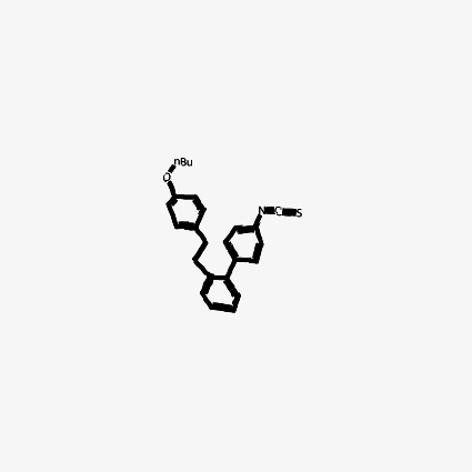 CCCCOc1ccc(CCc2ccccc2-c2ccc(N=C=S)cc2)cc1